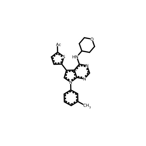 CC(=O)c1ccc(-c2cn(-c3cccc(C)c3)c3ncnc(NC4CCOCC4)c23)s1